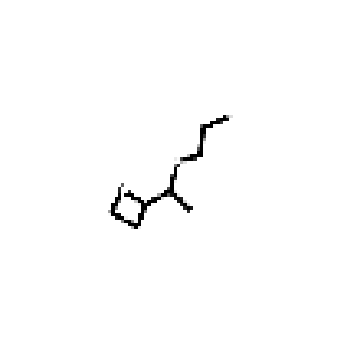 [CH2]CCOC(C)C1CCO1